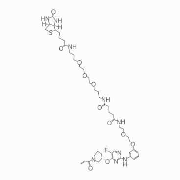 C=CC(=O)N1CCC[C@H](Oc2nc(Nc3cccc(OCCOCCNC(=O)CCCC(=O)NCCCOCCOCCOCCCNC(=O)CCCC4SC[C@@H]5NC(=O)N[C@H]45)c3)ncc2F)C1